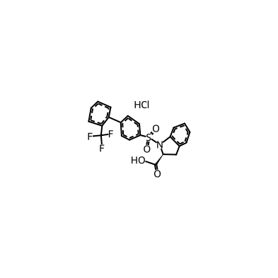 Cl.O=C(O)[C@@H]1Cc2ccccc2N1S(=O)(=O)c1ccc(-c2ccccc2C(F)(F)F)cc1